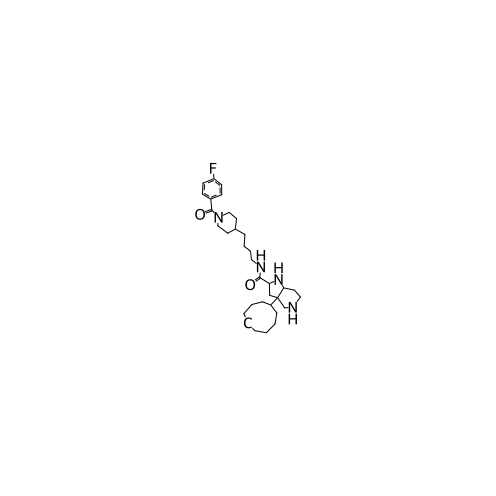 O=C(NCCCCC1CCN(C(=O)c2ccc(F)cc2)CC1)C1CC2(C3CCCCCCCC3)CNCCC2N1